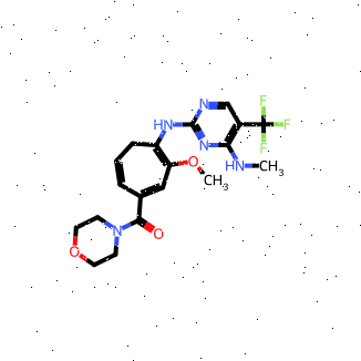 CNc1nc(NC2=C(OC)C=C(C(=O)N3CCOCC3)C=CC2)ncc1C(F)(F)F